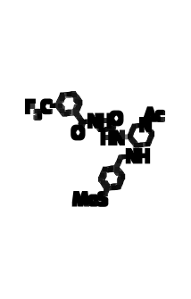 CSc1ccc(CN[C@H]2CCN(C(C)=O)C[C@H]2NC(=O)CNC(=O)c2cccc(C(F)(F)F)c2)cc1